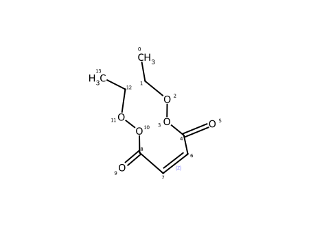 CCOOC(=O)/C=C\C(=O)OOCC